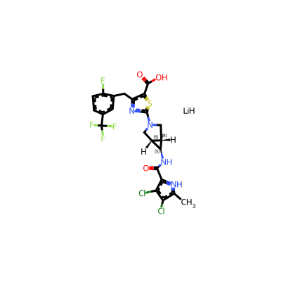 Cc1[nH]c(C(=O)N[C@H]2[C@@H]3CN(c4nc(Cc5cc(C(F)(F)F)ccc5F)c(C(=O)O)s4)C[C@@H]32)c(Cl)c1Cl.[LiH]